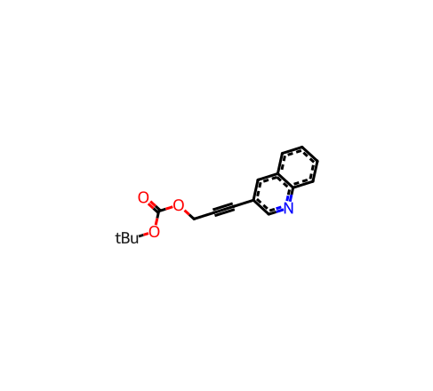 CC(C)(C)OC(=O)OCC#Cc1cnc2ccccc2c1